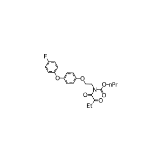 CCCOC(=O)N(CCOc1ccc(Oc2ccc(F)cc2)cc1)C(=O)C(=O)CC